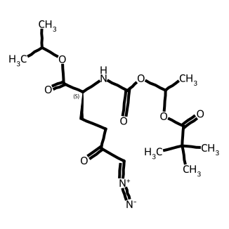 CC(C)OC(=O)[C@H](CCC(=O)C=[N+]=[N-])NC(=O)OC(C)OC(=O)C(C)(C)C